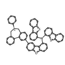 c1ccc([C@@H]2Cc3ccccc3-c3cc(-c4ccc5oc6cccc(N(c7cccc8c7sc7ccccc78)c7cccc8c7sc7ccccc78)c6c5c4)ccc3C2)cc1